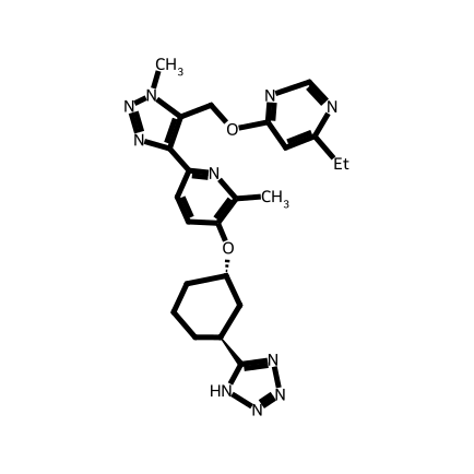 CCc1cc(OCc2c(-c3ccc(O[C@H]4CCC[C@H](c5nnn[nH]5)C4)c(C)n3)nnn2C)ncn1